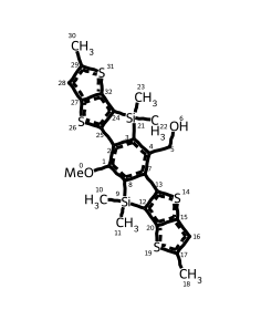 COc1c2c(c(CO)c3c1[Si](C)(C)c1c-3sc3cc(C)sc13)[Si](C)(C)c1c-2sc2cc(C)sc12